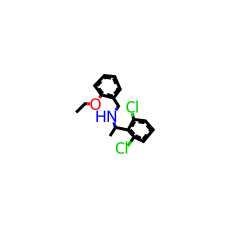 CCOc1ccccc1CNC(C)c1c(Cl)cccc1Cl